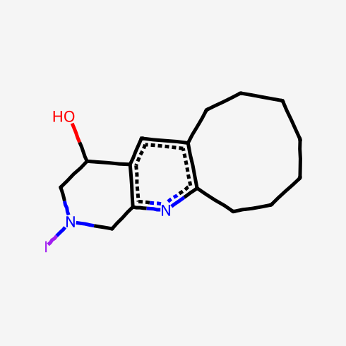 OC1CN(I)Cc2nc3c(cc21)CCCCCCC3